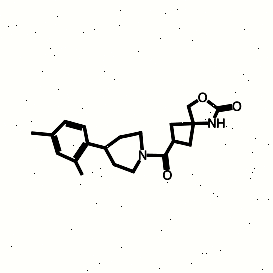 Cc1ccc(C2CCN(C(=O)C3CC4(COC(=O)N4)C3)CC2)c(C)c1